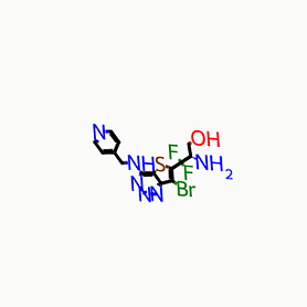 N[C@@H](CO)C(F)(F)c1sc2c(NCc3ccncc3)nnnc2c1Br